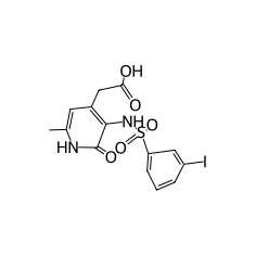 Cc1cc(CC(=O)O)c(NS(=O)(=O)c2cccc(I)c2)c(=O)[nH]1